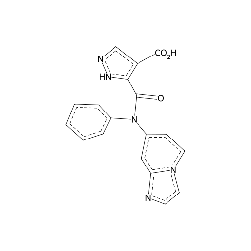 O=C(O)c1cn[nH]c1C(=O)N(c1ccccc1)c1ccn2ccnc2c1